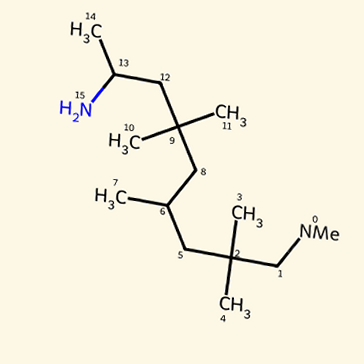 CNCC(C)(C)CC(C)CC(C)(C)CC(C)N